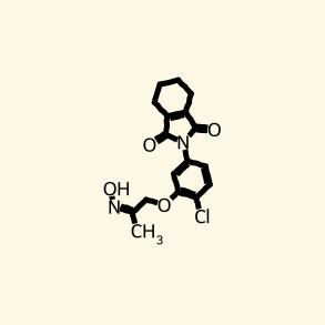 C/C(COc1cc(N2C(=O)C3=C(CCCC3)C2=O)ccc1Cl)=N/O